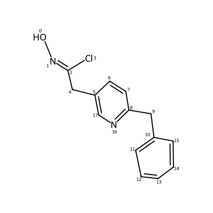 ON=C(Cl)Cc1ccc(Cc2ccccc2)nc1